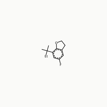 CCC(C)(C)c1cc(F)cc2c1OCC2